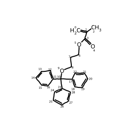 C=C(C)C(=O)OCCCOC(c1ccccc1)(c1ccccc1)c1ccccc1